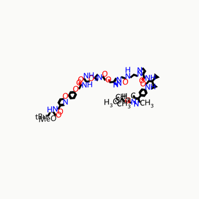 COC(=O)[C@H](CCC(C)(C)C)NC(=O)c1ccc(Oc2cccc(OCC(=O)NC(COC3CN(C(=O)COCc4cn(CC(=O)NCCCn5nccc5C(=O)N[C@H](C(=O)Nc5ccc(-c6c(C)nn(COCC[Si](C)(C)C)c6C)cc5)C(C5CC5)C5CC5)nn4)C3)C(N)=O)c2)nc1